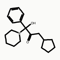 O=C(CC1CCCC1)C(O)(c1ccccc1)N1CCCCC1